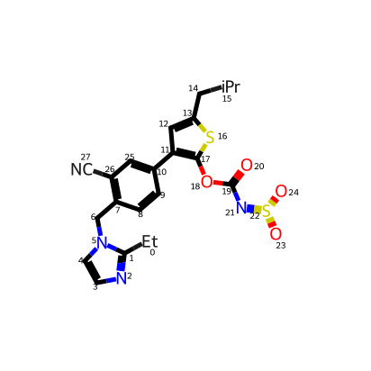 CCc1nccn1Cc1ccc(-c2cc(CC(C)C)sc2OC(=O)N=S(=O)=O)cc1C#N